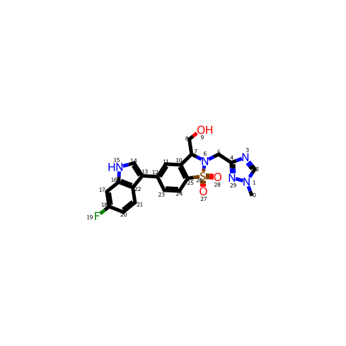 Cn1cnc(CN2C(CO)c3cc(-c4c[nH]c5cc(F)ccc45)ccc3S2(=O)=O)n1